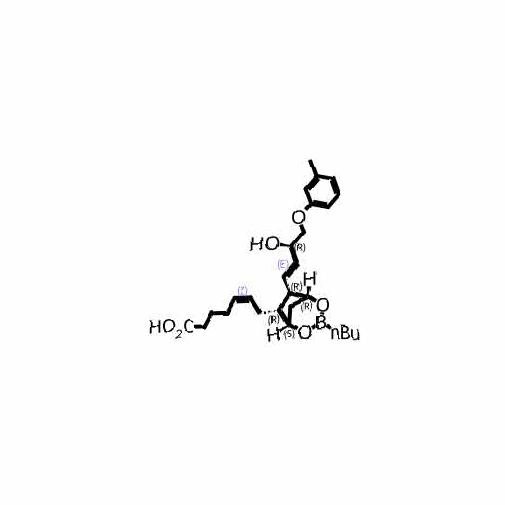 CCCCB1O[C@H]2C[C@@H](O1)[C@H](/C=C/[C@@H](O)COc1cccc(C)c1)[C@H]2C/C=C\CCCC(=O)O